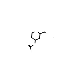 CCOC(=O)CC1CC(OC(=O)C(F)(F)F)CCO1